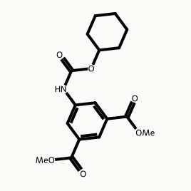 COC(=O)c1cc(NC(=O)OC2CCCCC2)cc(C(=O)OC)c1